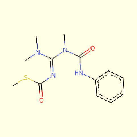 CSC(=O)N=C(N(C)C)N(C)C(=O)Nc1ccccc1